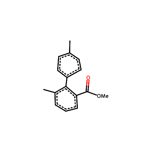 COC(=O)c1cccc(C)c1-c1ccc(C)cc1